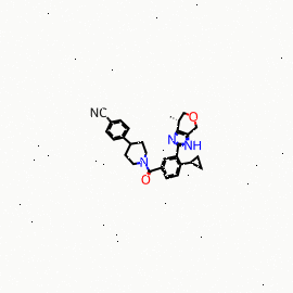 C[C@@H]1COCc2[nH]c(-c3cc(C(=O)N4CCC(c5ccc(C#N)cc5)CC4)ccc3C3CC3)nc21